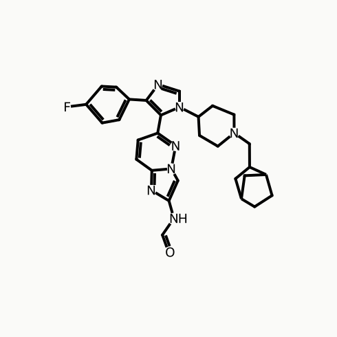 O=CNc1cn2nc(-c3c(-c4ccc(F)cc4)ncn3C3CCN(CC4CC5CCC4C5)CC3)ccc2n1